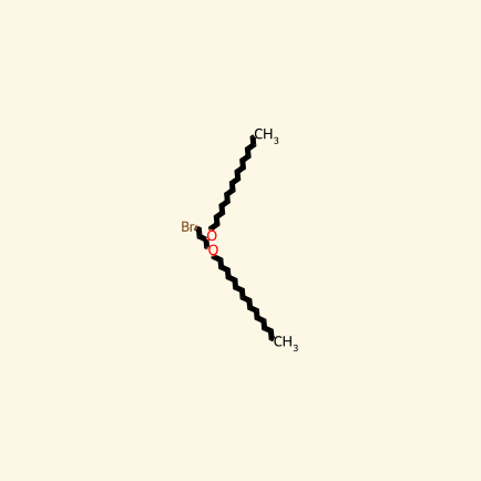 CCCCCCCCCCCCCCCCCCOCC(CCBr)OCCCCCCCCCCCCCCCCCC